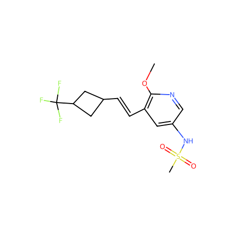 COc1ncc(NS(C)(=O)=O)cc1/C=C/C1CC(C(F)(F)F)C1